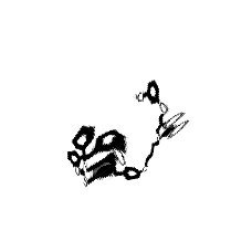 O=C1OC(COc2cccc(Cl)c2)CN1CCCCOc1ccc(CC2SC(=O)N(C(c3ccccc3)(c3ccccc3)c3ccccc3)C2=O)cc1